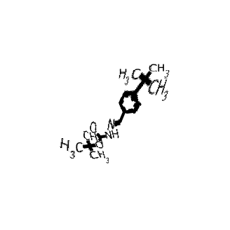 CC(C)(C)OC(=O)NN=Cc1ccc(C(C)(C)C)cc1